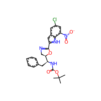 CC(C)(C)OC(=O)N[C@@H](Cc1ccccc1)[C@H]1CN=C(c2cc3cc(Cl)cc([N+](=O)[O-])c3[nH]2)O1